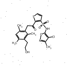 Cc1cc(C)c(CC(=O)c2sccc2S(=O)(=O)Nc2onc(C)c2Cl)c(C)c1CCO